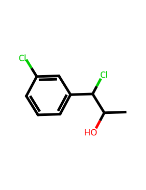 CC(O)C(Cl)c1cccc(Cl)c1